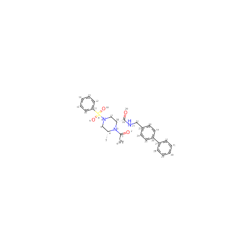 CC(C)C(=O)N1[C@H](C)CN(S(=O)(=O)c2ccccc2)C[C@@H]1C(=O)NCc1ccc(-c2ccccc2)cc1